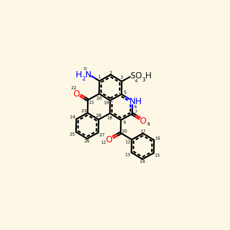 Nc1cc(S(=O)(=O)O)c2[nH]c(=O)c(C(=O)c3ccccc3)c3c2c1C(=O)c1ccccc1-3